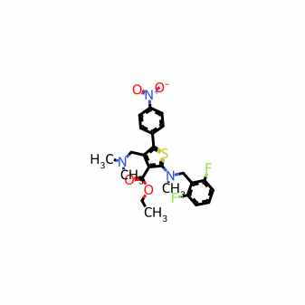 CCOC(=O)c1c(N(C)Cc2c(F)cccc2F)sc(-c2ccc([N+](=O)[O-])cc2)c1CN(C)C